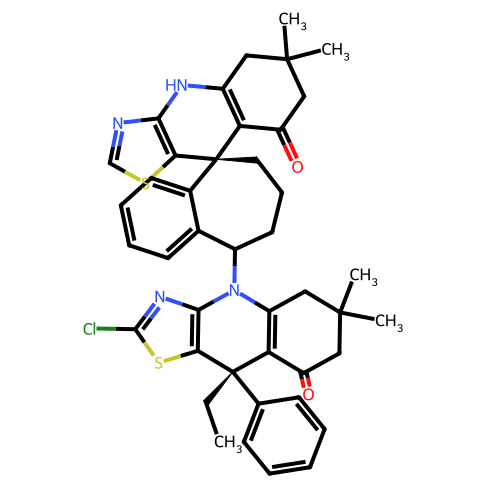 CC[C@]1(c2ccccc2)C2=C(CC(C)(C)CC2=O)N(C2CCC[C@@]3(C4=C(CC(C)(C)CC4=O)Nc4ncsc43)c3ccccc32)c2nc(Cl)sc21